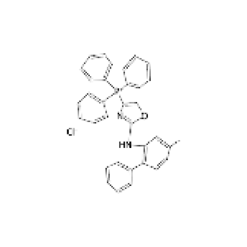 Cc1ccc(-c2ccccc2)c(Nc2nc([P+](c3ccccc3)(c3ccccc3)c3ccccc3)co2)c1.[Cl-]